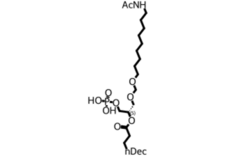 CCCCCCCCCCCCC(=O)O[C@@H](COCOCCCCCCCCCNC(C)=O)COP(=O)(O)O